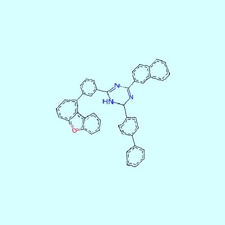 c1ccc(-c2ccc(C3N=C(c4ccc5ccccc5c4)N=C(c4cccc(-c5cccc6oc7ccccc7c56)c4)N3)cc2)cc1